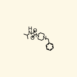 CC(C)NS(=O)(=O)N1CCN(Cc2ccccc2)CC1